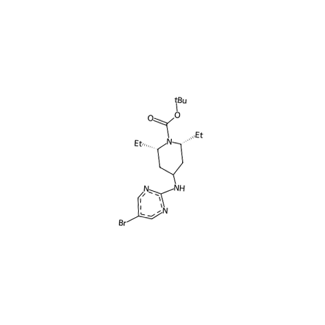 CC[C@@H]1CC(Nc2ncc(Br)cn2)C[C@H](CC)N1C(=O)OC(C)(C)C